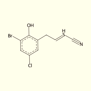 N#C[SH]=CCc1cc(Cl)cc(Br)c1O